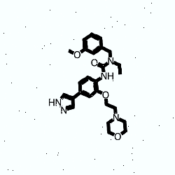 CCN(Cc1cccc(OC)c1)C(=O)Nc1ccc(-c2cn[nH]c2)cc1OCCN1CCOCC1